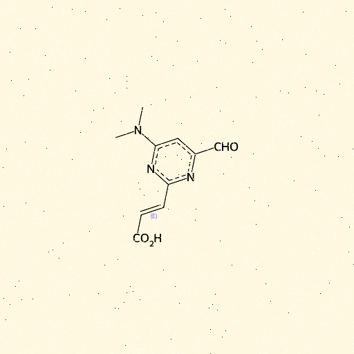 CN(C)c1cc(C=O)nc(/C=C/C(=O)O)n1